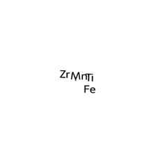 [Fe].[Mn].[Ti].[Zr]